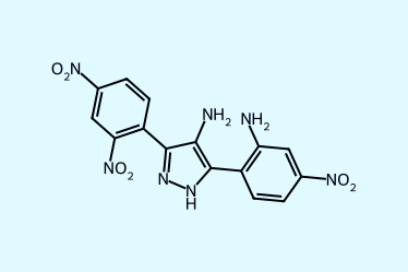 Nc1cc([N+](=O)[O-])ccc1-c1[nH]nc(-c2ccc([N+](=O)[O-])cc2[N+](=O)[O-])c1N